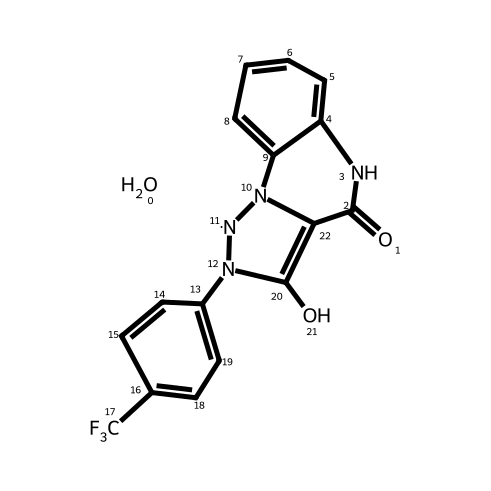 O.O=C1Nc2ccccc2N2[N]N(c3ccc(C(F)(F)F)cc3)C(O)=C12